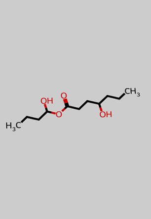 CCCC(O)CCC(=O)OC(O)CCC